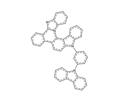 c1cc(-n2c3ccccc3c3ccccc32)cc(-n2c3ccccc3c3c2ccc2c4ccccc4c4nc5ccccc5n4c23)c1